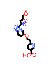 COCc1cc(-c2nnc3ccc(OCCc4ccc(C(=O)O)cn4)cn23)no1